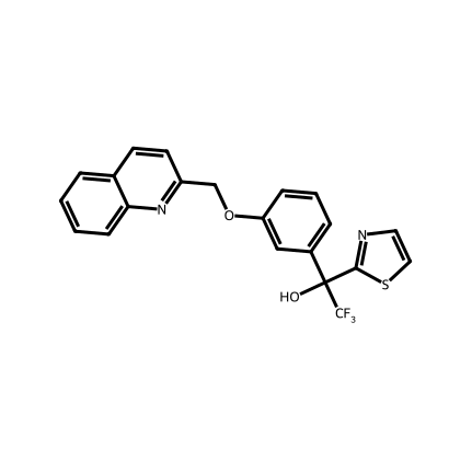 OC(c1cccc(OCc2ccc3ccccc3n2)c1)(c1nccs1)C(F)(F)F